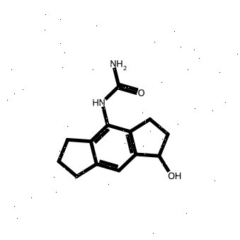 NC(=O)Nc1c2c(cc3c1CCC3O)CCC2